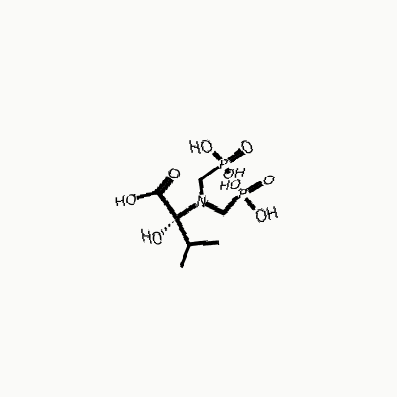 CC(C)[C@@](O)(C(=O)O)N(CP(=O)(O)O)CP(=O)(O)O